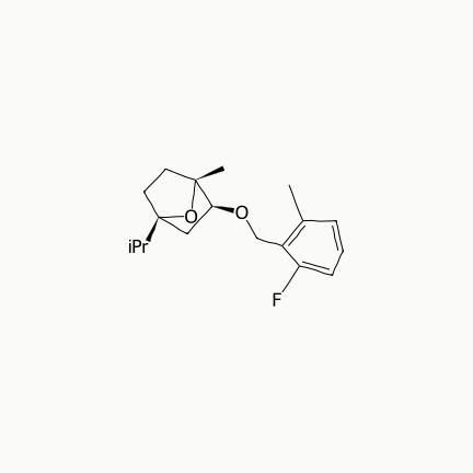 Cc1cccc(F)c1CO[C@H]1C[C@]2(C(C)C)CC[C@@]1(C)O2